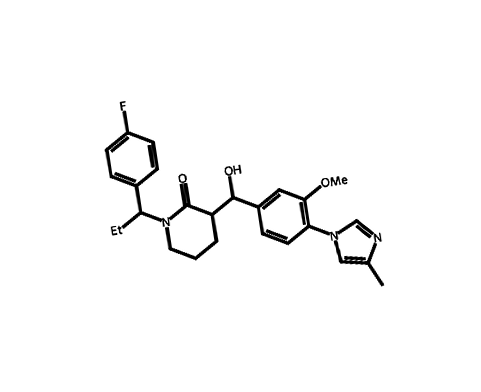 CCC(c1ccc(F)cc1)N1CCCC(C(O)c2ccc(-n3cnc(C)c3)c(OC)c2)C1=O